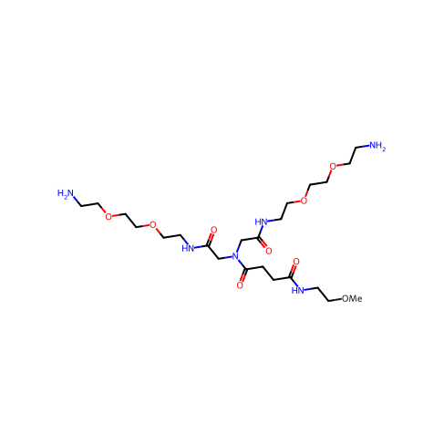 COCCNC(=O)CCC(=O)N(CC(=O)NCCOCCOCCN)CC(=O)NCCOCCOCCN